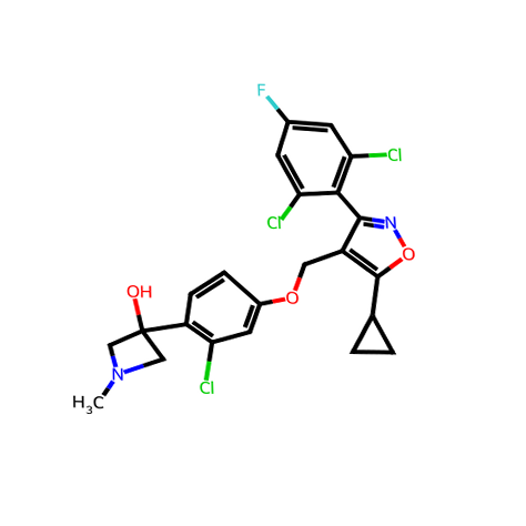 CN1CC(O)(c2ccc(OCc3c(-c4c(Cl)cc(F)cc4Cl)noc3C3CC3)cc2Cl)C1